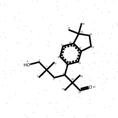 CC(C)(CO)CC(c1ccc2c(c1)CCC2(C)C)C(C)(C)C=O